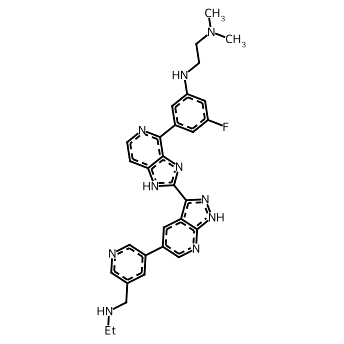 CCNCc1cncc(-c2cnc3[nH]nc(-c4nc5c(-c6cc(F)cc(NCCN(C)C)c6)nccc5[nH]4)c3c2)c1